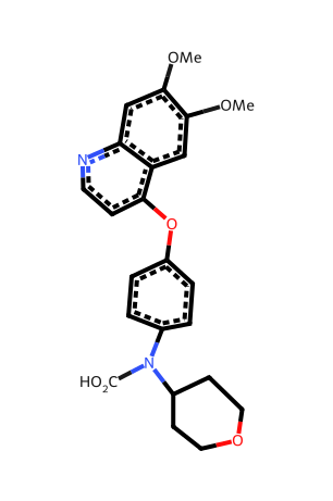 COc1cc2nccc(Oc3ccc(N(C(=O)O)C4CCOCC4)cc3)c2cc1OC